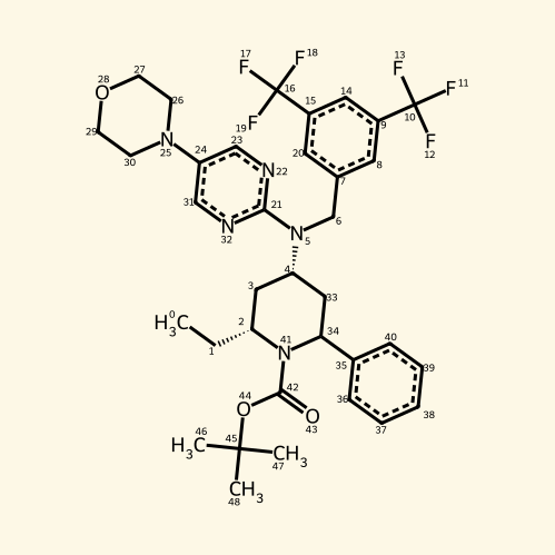 CC[C@@H]1C[C@H](N(Cc2cc(C(F)(F)F)cc(C(F)(F)F)c2)c2ncc(N3CCOCC3)cn2)CC(c2ccccc2)N1C(=O)OC(C)(C)C